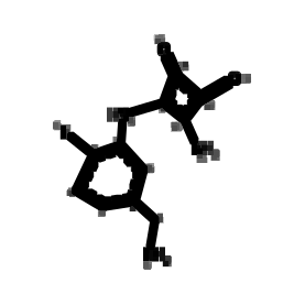 NCc1ccc(F)c(Nc2c(N)c(=O)c2=O)c1